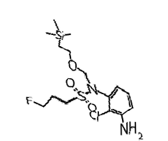 C[Si](C)(C)CCOCN(c1cccc(N)c1Cl)S(=O)(=O)CCCF